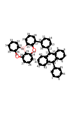 c1ccc(-c2c3ccccc3c(-c3cccc(-c4cccc5c4Oc4cccc6c4B5c4ccccc4O6)c3)c3ccccc23)cc1